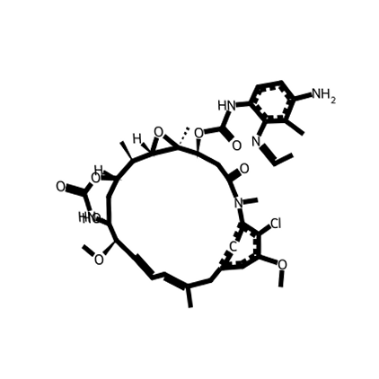 C/C=N\c1c(NC(=O)O[C@H]2CC(=O)N(C)c3cc(cc(OC)c3Cl)C/C(C)=C/C=C/[C@@H](OC)[C@@]3(O)C[C@H](OC(=O)N3)[C@@H](C)[C@@H]3O[C@@]23C)ccc(N)c1C